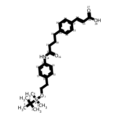 CC(C)(C)[Si](C)(C)OCCc1ccc(NC(=O)CCCc2ccc(C=CC(=O)O)cc2)cc1